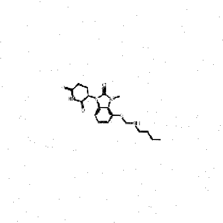 CCCCNCOc1cccc2c1n(C)c(=O)n2C1CCC(=O)NC1=O